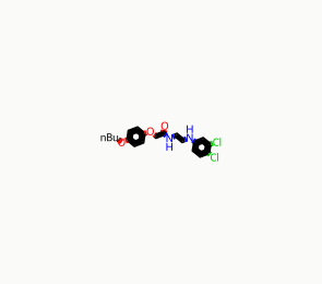 CCCCOc1ccc(OCC(=O)NCCNc2ccc(Cl)c(Cl)c2)cc1